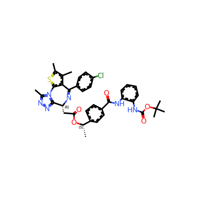 Cc1sc2c(c1C)C(c1ccc(Cl)cc1)=N[C@H](CC(=O)O[C@@H](C)c1ccc(C(=O)Nc3ccccc3NC(=O)OC(C)(C)C)cc1)c1nnc(C)n1-2